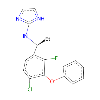 CC[C@H](Nc1ncc[nH]1)c1ccc(Cl)c(Oc2ccccc2)c1F